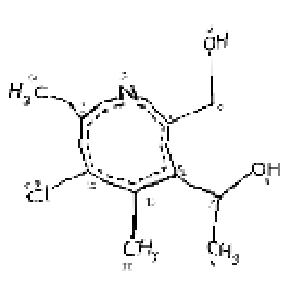 Cc1nc(CO)c(C(C)O)c(C)c1Cl